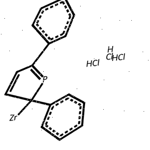 Cl.Cl.Cl.[Zr][C]1(c2ccccc2)C=CC(c2ccccc2)=P1